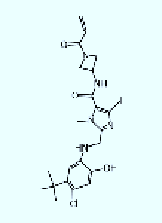 C=CC(=O)N1CC(NC(=O)c2c(I)nc(CNc3cc(C(C)(C)C)c(Cl)cc3O)n2C)C1